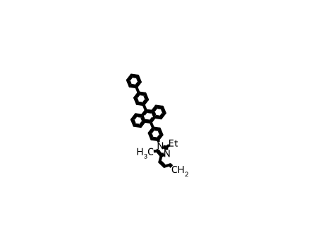 C=C/C=C\c1nc(CC)n(-c2ccc(-c3c4ccccc4c(-c4ccc(-c5ccccc5)cc4)c4ccccc34)cc2)c1C